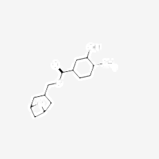 C[C@H]1CCC(C(=O)OCC2CC3CC(C2)O3)CC1O